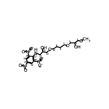 COCC(O)COCCCCOCC(O)CNc1c([N+](=O)[O-])cc([N+](=O)[O-])cc1[N+](=O)[O-]